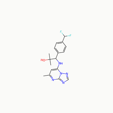 Cc1cc(NC(c2ccc(C(F)F)cc2)C(C)(C)O)n2ncnc2n1